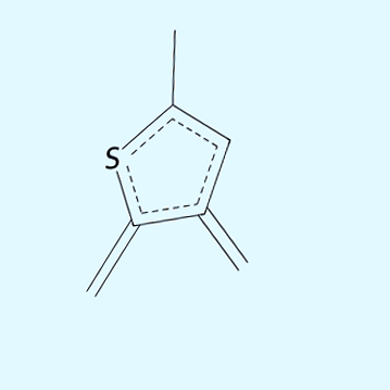 C=c1cc(C)sc1=C